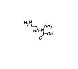 NCCNN(N)C(=O)O